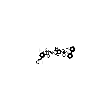 CN(CCN1C[C@H]2C[C@H](OC(=O)Nc3ccccc3-c3ccccc3)C[C@H]2C1)C(=O)c1cccc(CCO)c1